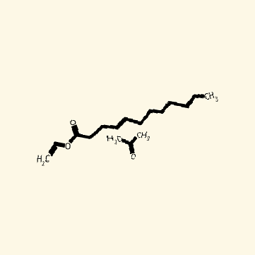 C=COC(=O)CCCCCCCCCCC.CC(C)=O